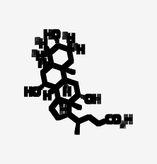 [2H]C1([2H])C[C@@]2(C)[C@H](C[C@@H](O)[C@@H]3[C@@H]2C[C@H](O)[C@]2(C)[C@@H]([C@H](C)CCC(=O)O)CC[C@@H]32)C([2H])([2H])[C@@H]1O